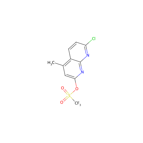 Cc1cc(OS(=O)(=O)C(F)(F)F)nc2nc(Cl)ccc12